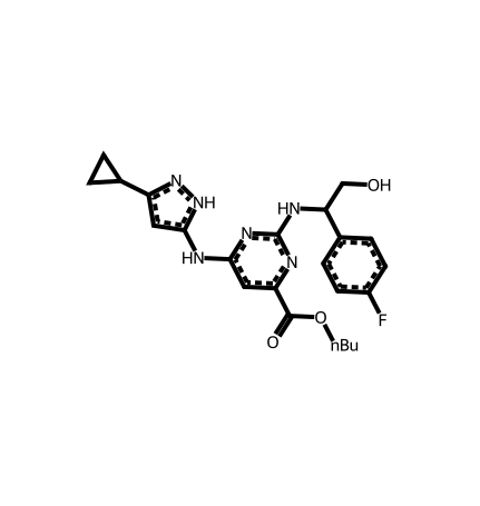 CCCCOC(=O)c1cc(Nc2cc(C3CC3)n[nH]2)nc(NC(CO)c2ccc(F)cc2)n1